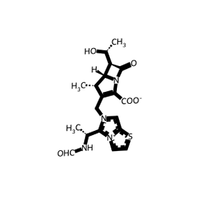 C[C@@H](NC=O)c1n(CC2=C(C(=O)[O-])N3C(=O)[C@H]([C@@H](C)O)[C@H]3[C@H]2C)cc2scc[n+]12